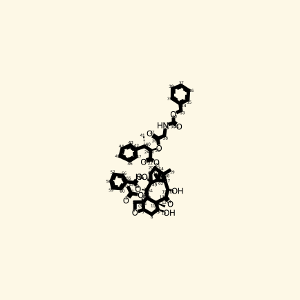 CC(=O)O[C@@]12COC1C[C@H](O)[C@@]1(C)C(=O)[C@H](O)C3=C(C)[C@@H](OC(=O)[C@H](OC(=O)CNC(=O)OCc4ccccc4)[C@@H](C)c4ccccc4)C[C@@](O)([C@@H](OC(=O)c4ccccc4)[C@@H]12)C3(C)C